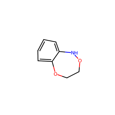 c1ccc2c(c1)NOCCO2